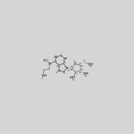 CCN(CCO)c1ncnc2c1ncn2[C@@H]1O[C@H](CO)[C@H](O)C1O